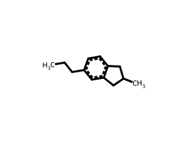 CCCc1ccc2c(c1)CC(C)C2